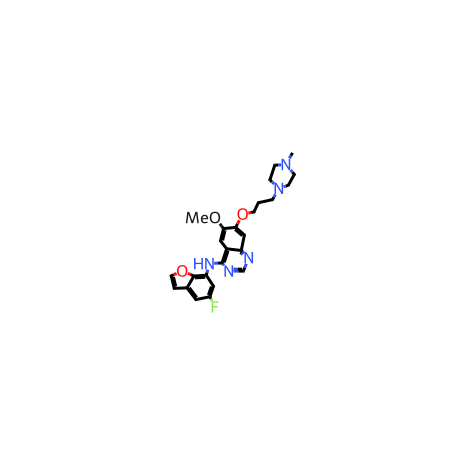 COc1cc2c(Nc3cc(F)cc4ccoc34)ncnc2cc1OCCCN1CCN(C)CC1